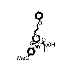 COc1ccc(S(=O)(=O)C2(OC(=O)NO)CCN(CCCOc3ccccc3)CC2)cc1